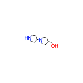 OCC1CCN(C2CCNCC2)CC1